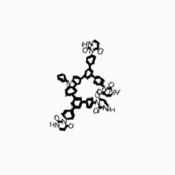 O=c1cc[nH]c(=O)n1-c1ccc(-c2cc(-c3ccc(-n4c(=O)cc[nH]c4=O)cc3)cc(-c3ccc4c(c3)c3cc(-c5cc(-c6ccc(-n7c(=O)cc[nH]c7=O)cc6)cc(-c6ccc(-n7c(=O)cc[nH]c7=O)cc6)c5)ccc3n4-c3ccccc3)c2)cc1